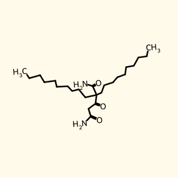 CCCCCCCCCCC(CCCCCCCCCC)(C(N)=O)C(=O)CC(N)=O